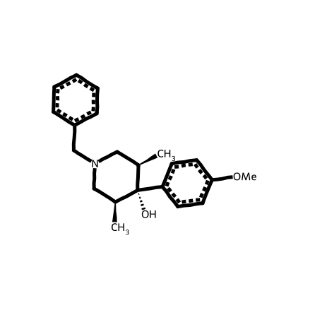 COc1ccc([C@]2(O)[C@H](C)CN(Cc3ccccc3)C[C@@H]2C)cc1